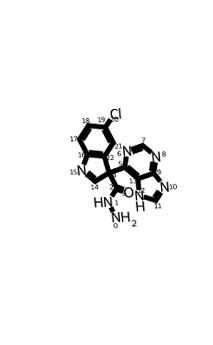 NNC(=O)C1(c2ncnc3nc[nH]c23)C=Nc2ccc(Cl)cc21